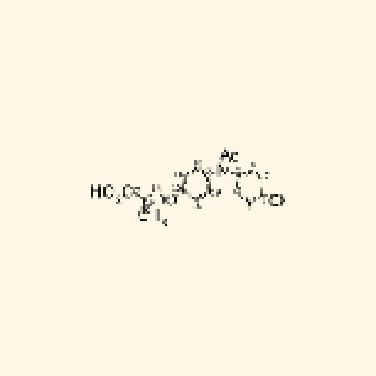 CC(=O)N(c1ccc(Cl)cc1)c1ccc(OCC(C)C(=O)O)cc1